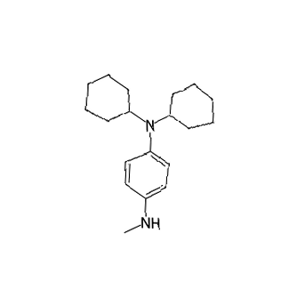 CNc1ccc(N(C2CCCCC2)C2CCCCC2)cc1